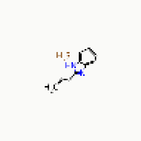 C=CCc1nc2ccccc2[nH]1.S